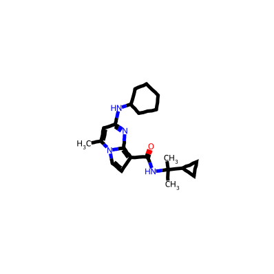 Cc1cc(NC2CCCCC2)nc2c(C(=O)NC(C)(C)C3CC3)ccn12